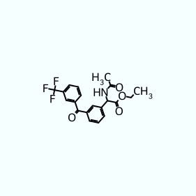 CCOC(=O)C(NC(C)=O)c1cccc(C(=O)c2cccc(C(F)(F)F)c2)c1